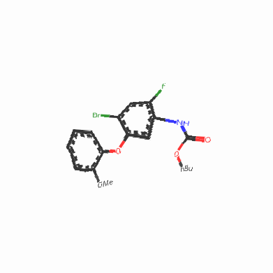 CCCCOC(=O)Nc1cc(Oc2ccccc2OC)c(Br)cc1F